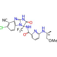 COC[C@H](C)Nc1cccc(C(=O)NC2(C(F)(F)F)C(=O)Nc3nc4c(C#N)c(Cl)ccc4n32)n1